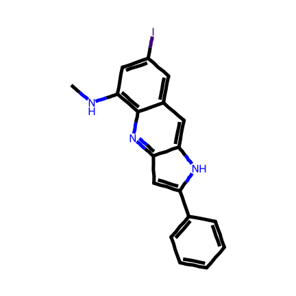 CNc1cc(I)cc2cc3[nH]c(-c4ccccc4)cc3nc12